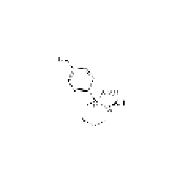 O=C(O)[C@@]1(c2ccc(C(F)(F)F)cc2)CCCC[C@@H]1O